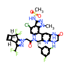 Cn1nc(NS(C)(=O)=O)c2c(Cl)ccc(-c3cc4c(nc3[C@H](Cc3cc(F)cc(F)c3)NC(=O)Cn3nc(C(F)F)c5c3C(F)(F)[C@@H]3C=C[C@H]53)NCC(=O)N4)c21